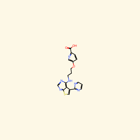 O=C(O)c1ccc(OCCCNc2ncnc3scc(-c4ncccn4)c23)cn1